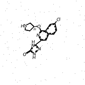 O=c1[nH]nc(-c2cc3ccc(Cl)cc3c(O[C@H]3CCNC3)n2)[nH]1